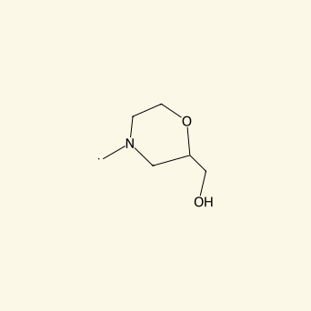 [CH2]N1CCOC(CO)C1